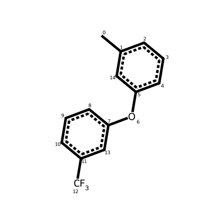 Cc1cccc(Oc2cccc(C(F)(F)F)c2)c1